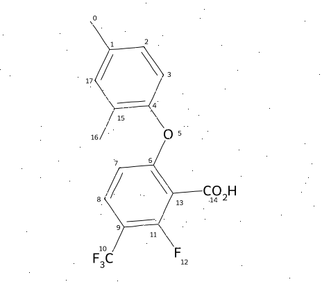 Cc1ccc(Oc2ccc(C(F)(F)F)c(F)c2C(=O)O)c(C)c1